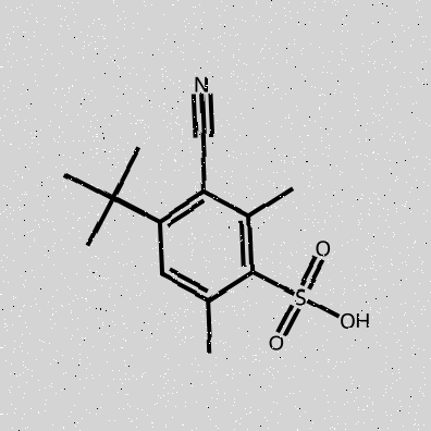 Cc1cc(C(C)(C)C)c(C#N)c(C)c1S(=O)(=O)O